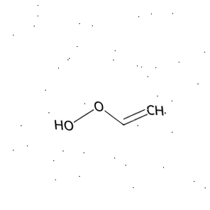 [CH]=COO